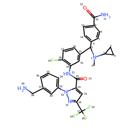 CN(C1CC1)C(c1ccc(C(N)=O)cc1)c1ccc(F)c(NC(=O)c2cc(C(F)(F)F)nn2-c2cccc(CN)c2)c1